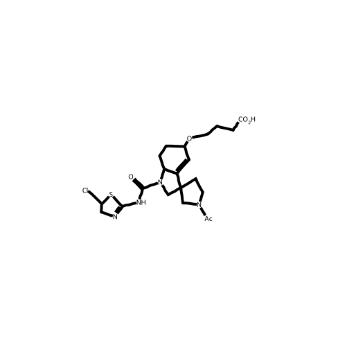 CC(=O)N1CCC2(C1)CN(C(=O)NC1=NCC(Cl)S1)C1CCC(OCCCC(=O)O)C=C12